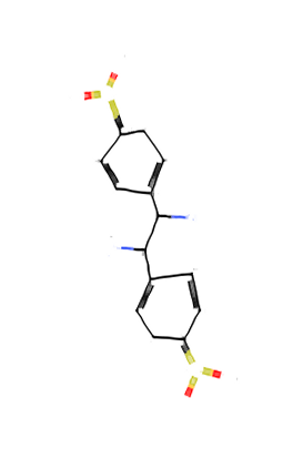 NC(C1=CCC(=S(=O)=O)C=C1)C(N)C1=CCC(=S(=O)=O)C=C1